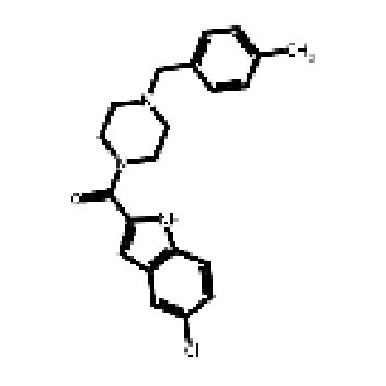 Cc1ccc(CN2CCN(C(=O)c3cc4cc(Cl)ccc4[nH]3)CC2)cc1